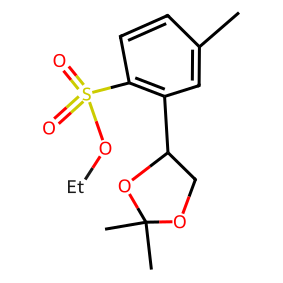 CCOS(=O)(=O)c1ccc(C)cc1C1COC(C)(C)O1